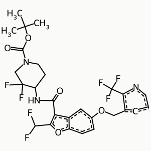 CC(C)(C)OC(=O)N1CCC(NC(=O)c2c(C(F)F)oc3ccc(OCc4cccnc4C(F)(F)F)cc23)C(F)(F)C1